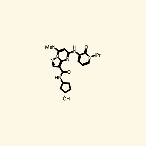 CNc1cc(Nc2cccn(C(C)C)c2=O)nc2c(C(=O)NC3CC[C@H](O)C3)cnn12